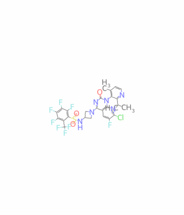 Cc1ccnc(C(C)C)c1-n1c(=O)nc(N2CC(NS(=O)(=O)c3c(F)c(F)c(F)c(F)c3C(F)(F)F)C2)c2cc(F)c(Cl)nc21